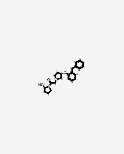 N#C[C@@H]1CCCN1C(=O)CN1CC[C@H](Oc2ccccc2Cc2ccccc2)C1